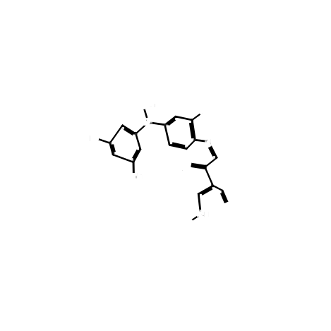 C=C/C(=C\BC)C(=C)/C=N\c1ccc(N(CCCC)c2cc(CC)cc(CCC)c2)cc1C